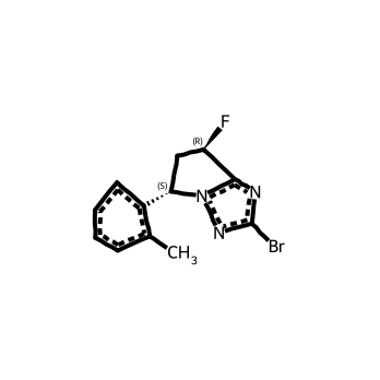 Cc1ccccc1[C@@H]1C[C@@H](F)c2nc(Br)nn21